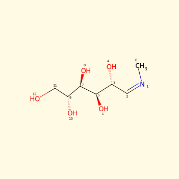 C/N=C\[C@@H](O)[C@@H](O)[C@H](O)[C@H](O)CO